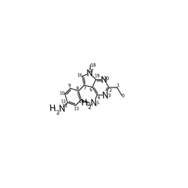 CCc1nc(N)c2c(-c3ccc(N)cc3C)cn(C)c2n1